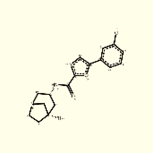 O=C(N[C@@H]1C[C@H]2CCN(C2)C1)c1ncc(-c2cccc(Cl)c2)o1